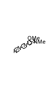 CNSc1ccc(N2CCC(N3CCN(C)CC3)CC2)cc1OC